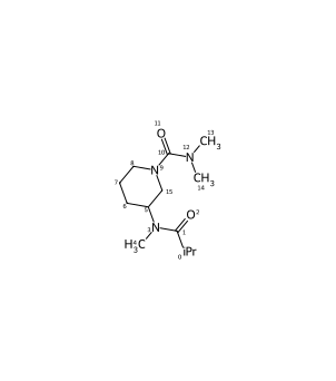 CC(C)C(=O)N(C)C1CCCN(C(=O)N(C)C)C1